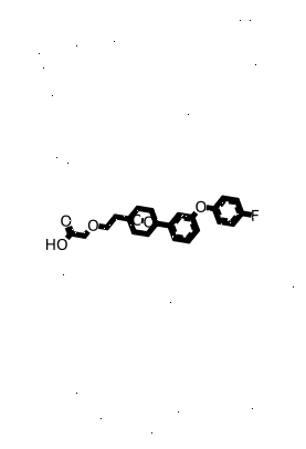 O=C(O)COCCC12CCC(c3cccc(Oc4ccc(F)cc4)c3)(CC1)OC2